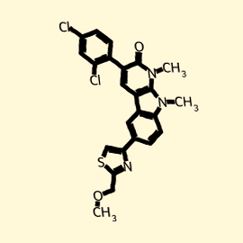 COCc1nc(-c2ccc3c(c2)c2cc(-c4ccc(Cl)cc4Cl)c(=O)n(C)c2n3C)cs1